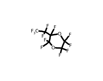 FC(F)(F)C(F)(F)C1(F)OC(F)(F)C(F)(F)OC1(F)F